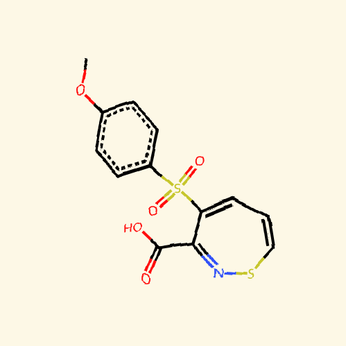 COc1ccc(S(=O)(=O)C2=CC=CSN=C2C(=O)O)cc1